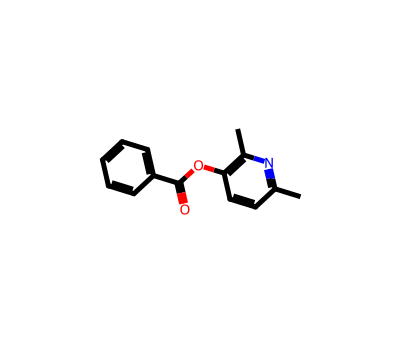 Cc1ccc(OC(=O)c2ccccc2)c(C)n1